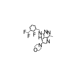 Cc1nnc(NCc2cccc(C(F)F)c2F)c2cc(N3CCOCC3)cnc12